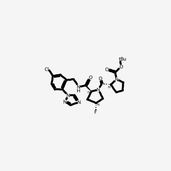 CC(C)(C)OC(=O)N1CCC[C@@H]1C(=O)N1C[C@H](F)C[C@H]1C(=O)NCc1cc(Cl)ccc1-n1cncn1